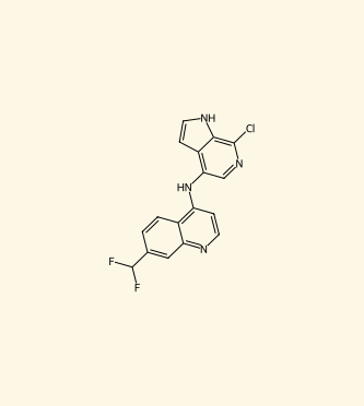 FC(F)c1ccc2c(Nc3cnc(Cl)c4[nH]ccc34)ccnc2c1